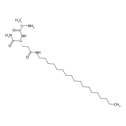 CCCCCCCCCCCCCCCCCCNC(=O)CC[C@@H](NC(=O)[C@H](C)N)C(N)=O